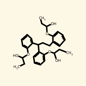 CCC(O)Oc1ccccc1CCC(c1ccccc1OC(O)CC)c1ccccc1OC(O)CC